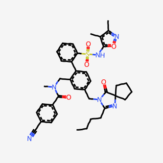 CCCCC1=NC2(CCCC2)C(=O)N1Cc1ccc(-c2ccccc2S(=O)(=O)Nc2onc(C)c2C)c(CN(C)C(=O)c2ccc(C#N)cc2)c1